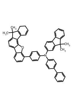 CC1(C)C2=C(C=CCC2)c2c1ccc1c2oc2c(-c3ccc(N(c4ccc(-c5ccccc5)cc4)c4ccc5c(c4)C(C)(C)c4ccccc4-5)cc3)cccc21